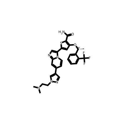 C[C@@H](Oc1cc(-c2cnc3cc(-c4cnn(CCN(C)C)c4)ccn23)sc1C(N)=O)c1ccccc1C(F)(F)F